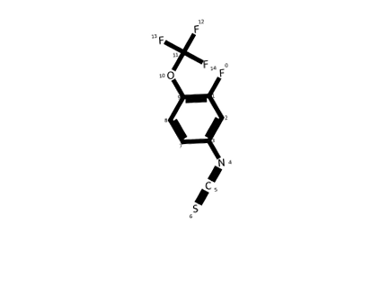 Fc1cc(N=C=S)ccc1OC(F)(F)F